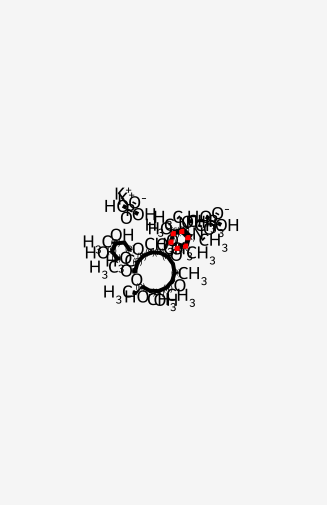 CC[C@H]1OC(=O)[C@H](C)[C@@H](O[C@H]2C[C@@](C)(O)[C@@H](O)[C@H](C)O2)[C@H](C)[C@@H](O[C@@H]2O[C@H](C)C[C@H](N(C)C)[C@H]2O)[C@](C)(O[C@H]2C[C@@H](N(C)C)[C@@H](O)[C@H](C)O2)C[C@@H](C)C(=O)[C@H](C)[C@@H](O)[C@]1(C)O.O=P([O-])(O)O.O=P([O-])(O)O.[K+].[K+]